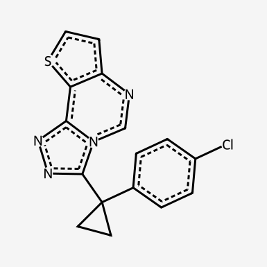 Clc1ccc(C2(c3nnc4c5sccc5ncn34)CC2)cc1